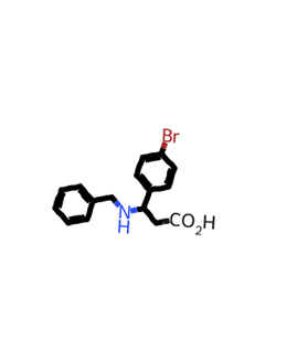 O=C(O)CC(NCc1ccccc1)c1ccc(Br)cc1